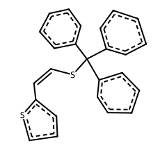 C(=C/c1cccs1)/SC(c1ccccc1)(c1ccccc1)c1ccccc1